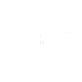 CCCCCCCCC(CCCCCCCC)OC(=O)CCCCCCCN(CCO)CCCCCC(=O)OC1CC1CCCCCCC